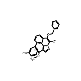 COC(=O)c1cnn2c(Cl)c(OCc3ccccc3)c3cccc(-c4cccc(Cl)c4)c3c12